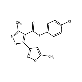 Cc1cc(-c2onc(C)c2C(=O)Sc2ccc(Cl)cc2)no1